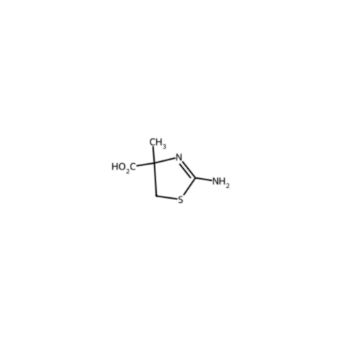 CC1(C(=O)O)CSC(N)=N1